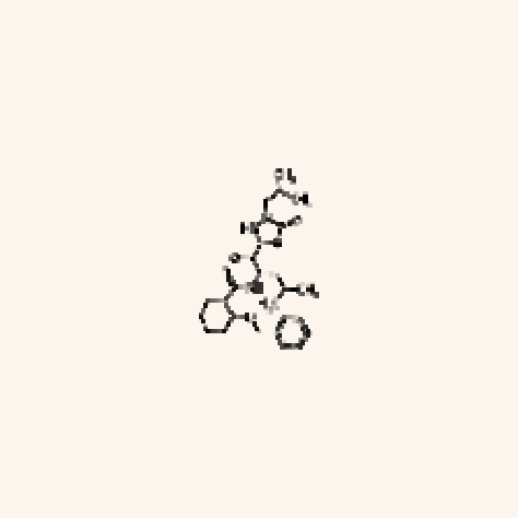 CC(C)C[C@H](NC(=O)C1CCCCC1OCc1ccccc1)C(=O)C1NN(CC(C)C)C(=O)O1